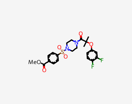 COC(=O)c1ccc(S(=O)(=O)N2CCN(C(=O)C(C)(C)Oc3ccc(F)c(F)c3)CC2)cc1